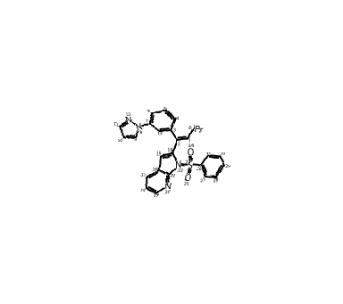 CC(C)C=C(c1cccc(-n2cccn2)c1)c1cc2cccnc2n1S(=O)(=O)c1ccccc1